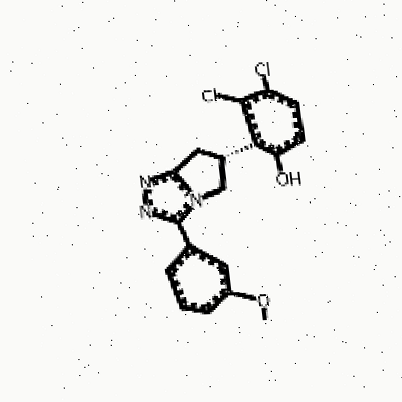 COc1cccc(-c2nnc3n2C[C@@H](c2c(O)ccc(Cl)c2Cl)C3)c1